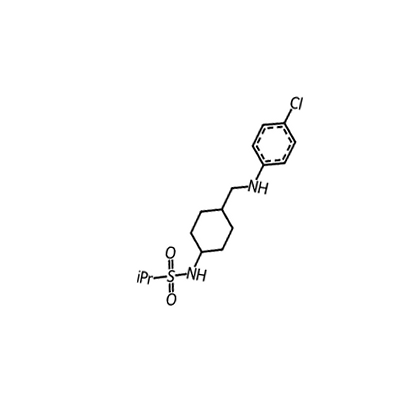 CC(C)S(=O)(=O)NC1CCC(CNc2ccc(Cl)cc2)CC1